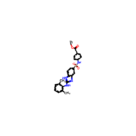 Cc1cccc(C)c1Nc1nc2cc(S(=O)(=O)Nc3ccc(C(=O)OC(C)C)cc3)ccc2[nH]1